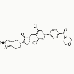 O=C(c1ccc(-c2cc(Cl)c(CC3CCN(C4CCc5n[nH]cc5C4)C3=O)c(Cl)c2)cc1)N1CCOCC1